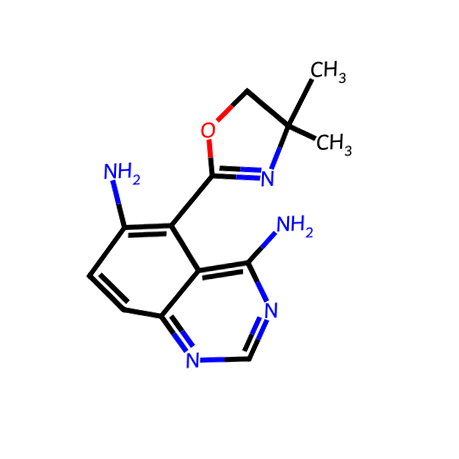 CC1(C)COC(c2c(N)ccc3ncnc(N)c23)=N1